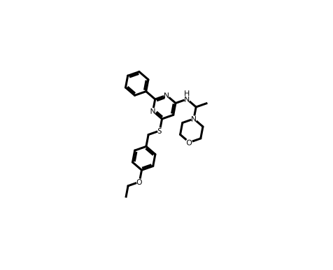 CCOc1ccc(CSc2cc(NC(C)N3CCOCC3)nc(-c3ccccc3)n2)cc1